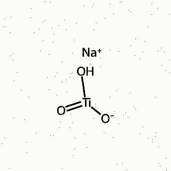 [Na+].[O]=[Ti]([O-])[OH]